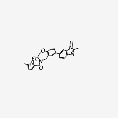 CCn1c(C)ccc1C(=O)N1CCOc2ccc(-c3ccc4nc(C)[nH]c4c3)cc2C1